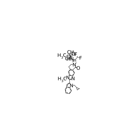 Cn1c(-c2cc3ccccc3n2CC2CC2)nc2cc3c(cc21)CCN(C[C@H](N[S@+]([O-])C(C)(C)C)C(F)F)C3=O